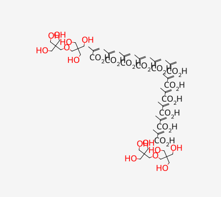 C=C(C)C(=O)O.C=C(C)C(=O)O.C=C(C)C(=O)O.C=C(C)C(=O)O.C=C(C)C(=O)O.C=C(C)C(=O)O.C=C(C)C(=O)O.C=C(C)C(=O)O.C=C(C)C(=O)O.C=C(C)C(=O)O.C=C(C)C(=O)O.OCC(CO)(CO)COCC(CO)(CO)CO.OCC(CO)(CO)COCC(CO)(CO)CO